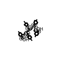 Cc1ccc(S(=O)(=O)N(CCc2cc(C)ccc2S(=O)(=O)O)CCN(CCN(CCc2cc(C)ccc2S(=O)(=O)O)S(=O)(=O)c2ccc(C)cc2)S(=O)(=O)c2ccc(C)cc2)cc1